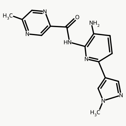 Cc1cnc(C(=O)Nc2nc(-c3cnn(C)c3)ccc2N)cn1